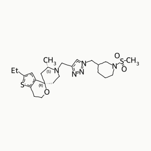 CCc1cc2c(s1)CCO[C@@]21CCN(Cc2cn(CC3CCCN(S(C)(=O)=O)C3)nn2)[C@@H](C)C1